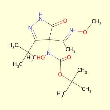 CON=C(C)C1(N(O)C(=O)OC(C)(C)C)C(=O)NN=C1C(C)(C)C